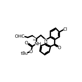 CC(C)(C)OC(=O)N[C@@H](CCC=O)CNc1ccc(Cl)cc1C(=O)c1ccccc1